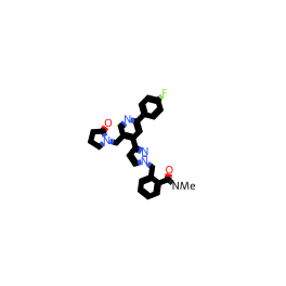 CNC(=O)c1ccccc1Cn1ccc(-c2cc(-c3ccc(F)cc3)ncc2CN2CCCC2=O)n1